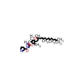 CC(C)=CCC/C(C)=C/CC/C(C)=C/CC[C@]1(C)CCc2c(C)c(OC(=O)CNC(=O)c3cccnc3)c(C)c(C)c2O1